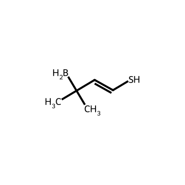 BC(C)(C)/C=C/S